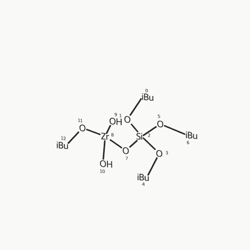 CCC(C)O[Si](OC(C)CC)(OC(C)CC)[O][Zr]([OH])([OH])[O]C(C)CC